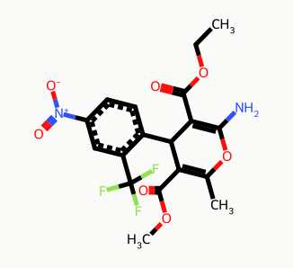 CCOC(=O)C1=C(N)OC(C)=C(C(=O)OC)C1c1ccc([N+](=O)[O-])cc1C(F)(F)F